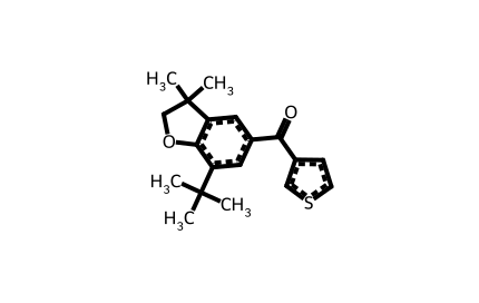 CC(C)(C)c1cc(C(=O)c2ccsc2)cc2c1OCC2(C)C